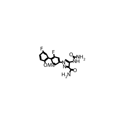 COc1ccc(F)cc1-c1ccc(-n2cc(NC(N)=O)c(C(N)=O)n2)cc1F